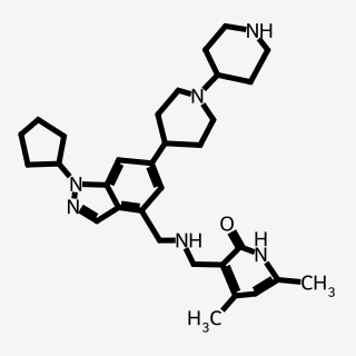 Cc1cc(C)c(CNCc2cc(C3CCN(C4CCNCC4)CC3)cc3c2cnn3C2CCCC2)c(=O)[nH]1